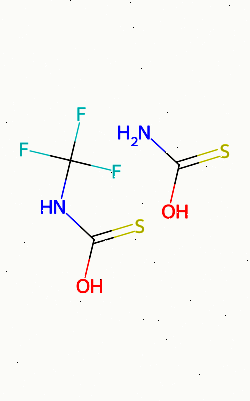 NC(O)=S.OC(=S)NC(F)(F)F